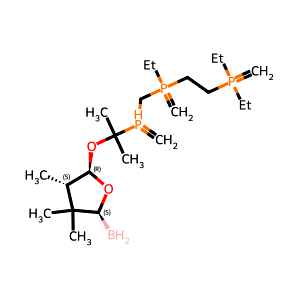 B[C@@H]1O[C@H](OC(C)(C)[PH](=C)CP(=C)(CC)CCP(=C)(CC)CC)[C@@H](C)C1(C)C